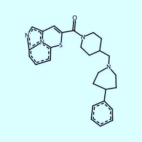 O=C(C1=Cc2cnc3cccc(n23)S1)N1CCC(CN2CCC(c3ccccc3)CC2)CC1